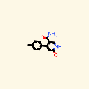 Cc1ccc(-c2cc(=O)[nH]cc2C(N)=O)cc1